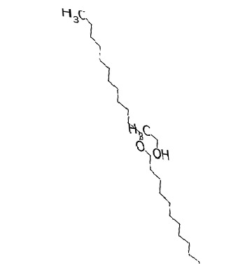 CCCCCCCCCCCCOCCCCCCCCCCCC.CCO